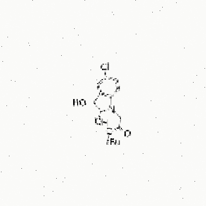 CC(C)(C)OC(=O)CN1c2ccc(Cl)cc2C(O)C1O